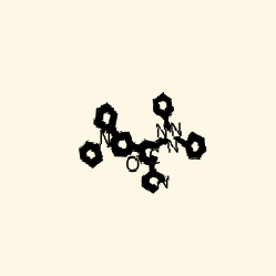 c1ccc(-c2nc(-c3ccccc3)nc(-c3cc(-c4cccnc4)c4oc5cc6c(cc5c4c3)c3ccccc3n6-c3ccccc3)n2)cc1